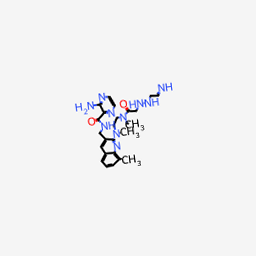 Cc1cccc2cc(CNC(=O)c3nccnc3N)c(N(C)CCN(C)C(=O)CNNCC=N)nc12